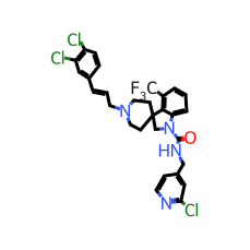 O=C(NCc1ccnc(Cl)c1)N1CC2(CCN(CC=Cc3ccc(Cl)c(Cl)c3)CC2)c2c1cccc2C(F)(F)F